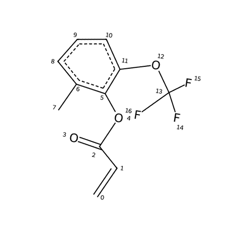 C=CC(=O)Oc1c(C)cccc1OC(F)(F)F